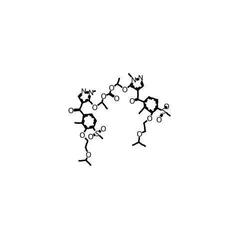 Cc1c(C(=O)c2cnn(C)c2OC(C)OC(=O)OC(C)Oc2c(C(=O)c3ccc(S(C)(=O)=O)c(OCCOC(C)C)c3C)cnn2C)ccc(S(C)(=O)=O)c1OCCOC(C)C